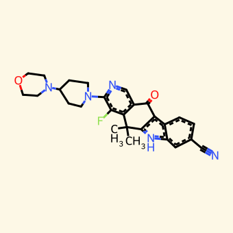 CC1(C)c2[nH]c3cc(C#N)ccc3c2C(=O)c2cnc(N3CCC(N4CCOCC4)CC3)c(F)c21